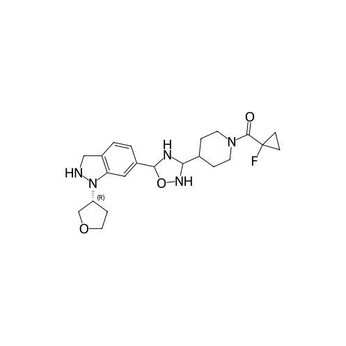 O=C(N1CCC(C2NOC(c3ccc4c(c3)N([C@@H]3CCOC3)NC4)N2)CC1)C1(F)CC1